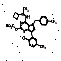 Cc1ccc(Cl)c(-c2cn(Cc3ccc(C(F)(F)F)cc3)c3c(N[C@H](C)C4CCC4)nc(OC(=O)O)nc23)c1